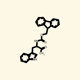 CC(=O)C(Cc1c[nH]c2ccccc12)NC(=O)OCC1c2ccccc2-c2ccccc21